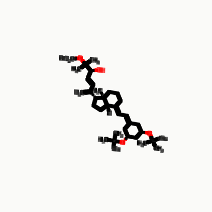 C=C(/C=C/[C@H](O)C(C)(C)OC(=O)OCC)[C@H]1CC[C@H]2/C(=C/C=C3C[C@@H](O[Si](C)(C)C(C)(C)C)C[C@H](O[Si](C)(C)C(C)(C)C)C3)CCC[C@]12C